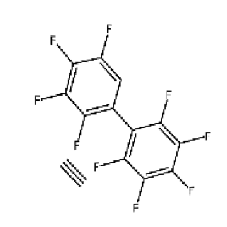 C#C.Fc1cc(-c2c(F)c(F)c(F)c(F)c2F)c(F)c(F)c1F